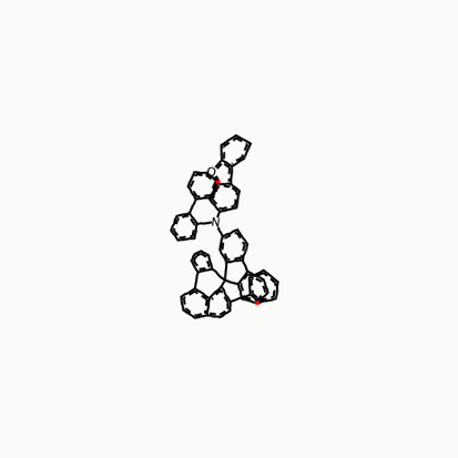 c1ccc(-c2ccccc2N(c2ccc3c(c2)C2(c4ccccc4-3)c3ccccc3-c3cccc4ccc(-c5ccccc5)c2c34)c2ccc3c(c2)oc2ccccc23)cc1